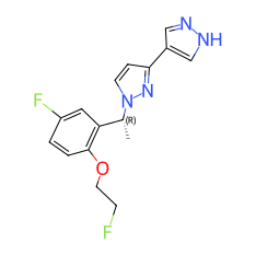 C[C@H](c1cc(F)ccc1OCCF)n1ccc(-c2cn[nH]c2)n1